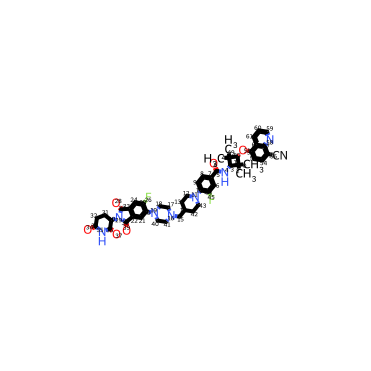 CC1(C)C(NC(=O)c2ccc(N3CCC(CN4CCN(c5cc6c(cc5F)C(=O)N(C5CCC(=O)NC5=O)C6=O)CC4)CC3)c(F)c2)C(C)(C)C1Oc1ccc(C#N)c2ncccc12